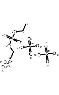 CCOS(=O)(=O)OCC.O=S(=O)([O-])[O-].O=S(=O)([O-])[O-].[Cu+2].[Cu+2]